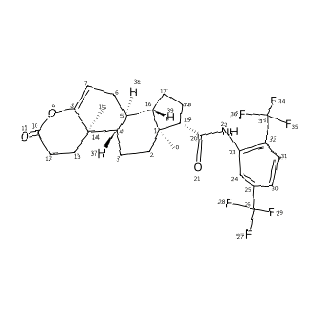 C[C@]12CC[C@H]3[C@@H](CC=C4OC(=O)CC[C@@]43C)[C@@H]1CC[C@@H]2C(=O)Nc1cc(C(F)(F)F)ccc1C(F)(F)F